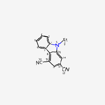 CCn1c2ccccc2c2c(C#N)cc(C#N)cc21